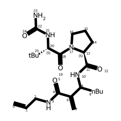 C=CCNC(=O)C(=C)C(CCCC)NC(=O)[C@@H]1CCCN1C(=O)[C@@H](NC(N)=O)C(C)(C)C